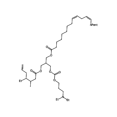 C=CCC(CC)C(C)CC(=O)OCC(COC(=O)CCCCCCC/C=C\C/C=C\CCCCC)COC(=O)OCCCN(CC)CC